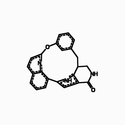 O=C1NCC2Cc3cccc(c3)Oc3ccc4cccc(c4n3)-c3cc1c2[nH]3